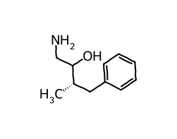 C[C@@H](Cc1ccccc1)C(O)CN